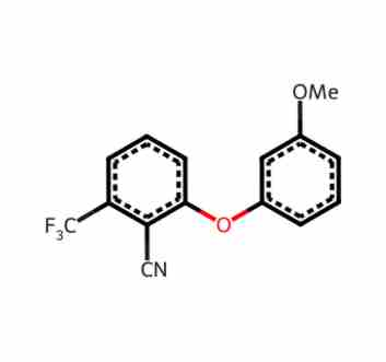 COc1cccc(Oc2cccc(C(F)(F)F)c2C#N)c1